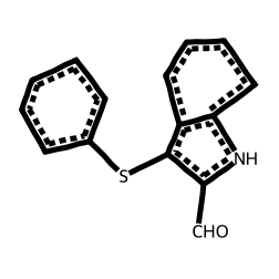 O=Cc1[nH]c2ccccc2c1Sc1ccccc1